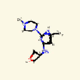 CCN1CCN(c2nc(NC3COC3)cc(C(C)C)n2)CC1